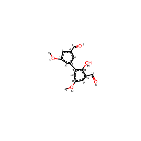 COc1cc(C=O)cc(-c2cc(OC)cc(C=O)c2O)c1